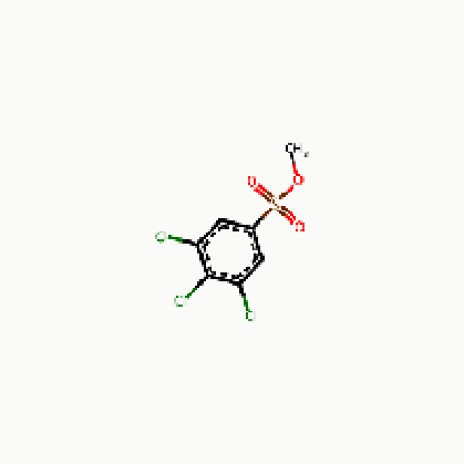 COS(=O)(=O)c1cc(Cl)c(Cl)c(Cl)c1